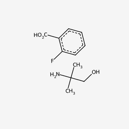 CC(C)(N)CO.O=C(O)c1ccccc1F